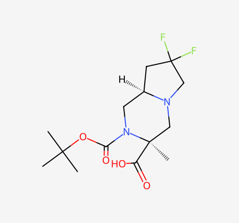 CC(C)(C)OC(=O)N1C[C@H]2CC(F)(F)CN2C[C@@]1(C)C(=O)O